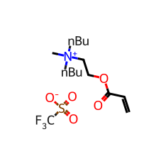 C=CC(=O)OCC[N+](C)(CCCC)CCCC.O=S(=O)([O-])C(F)(F)F